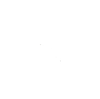 Cc1ccc(-c2cc(C)c(-n3cccc3-c3ccccc3)c(C(C)C)c2)cc1